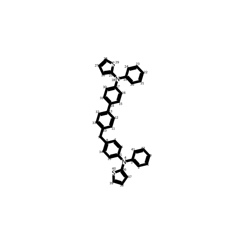 c1ccc(N(c2ccc(Cc3ccc(-c4ccc(N(c5ccccc5)c5cccs5)cc4)cc3)cc2)c2cccs2)cc1